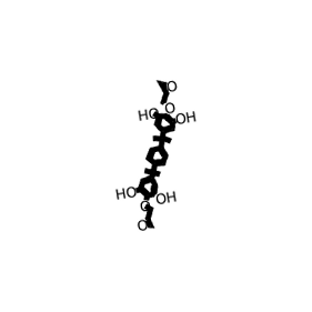 CC(C)(c1ccc(C(C)(C)c2cc(O)c(OCC3CO3)c(O)c2)cc1)c1cc(O)c(OCC2CO2)c(O)c1